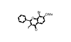 COc1ccc2c(=O)c(I)c(-c3ccccc3)oc2c1Br